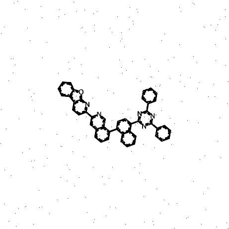 c1ccc(-c2nc(-c3ccccc3)nc(-c3ccc(-c4cccc5cc(-c6ccc7c(n6)oc6ccccc67)ncc45)c4ccccc34)n2)cc1